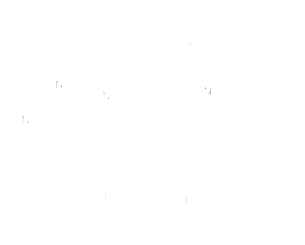 O=C(C1CCN(c2ncnc3ccc(F)cc23)CC1)N(CC1CC1)c1ccc(Cl)cc1